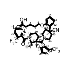 C=C(O)CCCCOc1ccccc1C1(C#N)CCN(C(=O)[C@]2(Oc3csc(C(F)(F)F)c3)CCCN(C(=O)c3ncccc3C(F)(F)F)[C@@H]2CCC)CC1